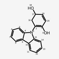 OC1=C(n2c3ccccc3c3ccccc32)CC(O)C=C1